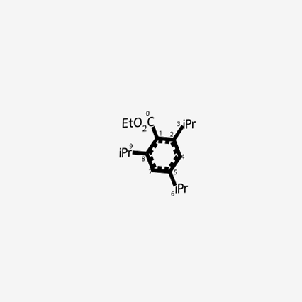 CCOC(=O)c1c(C(C)C)cc(C(C)C)cc1C(C)C